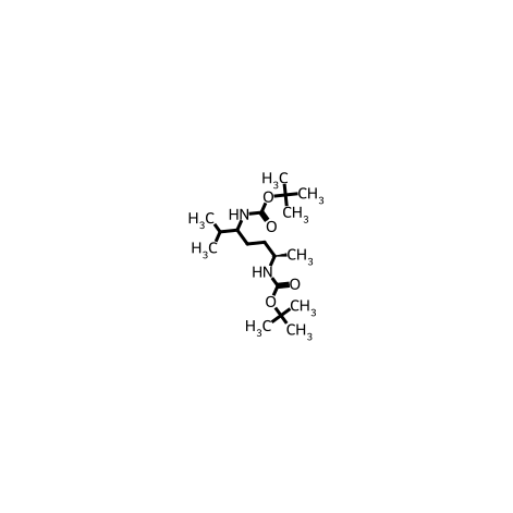 CC(C)C(CC[C@@H](C)NC(=O)OC(C)(C)C)NC(=O)OC(C)(C)C